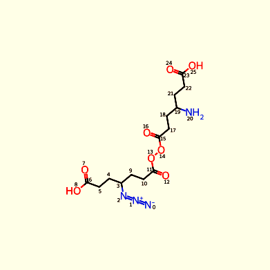 [N-]=[N+]=NC(CCC(=O)O)CCC(=O)OOC(=O)CCC(N)CCC(=O)O